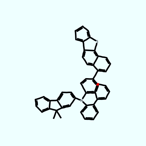 CC1(C)c2ccccc2-c2ccc(N(c3ccc(-c4cccc5c4ccc4c6ccccc6sc54)cc3)c3ccccc3-c3ccccc3)cc21